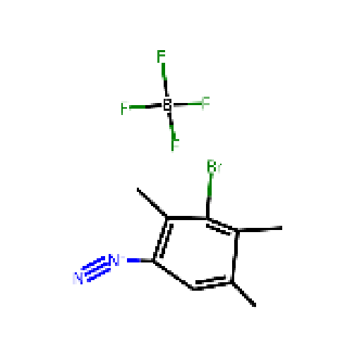 Cc1cc([N+]#N)c(C)c(Br)c1C.F[B-](F)(F)F